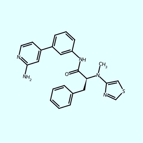 CN(c1cscn1)[C@@H](Cc1ccccc1)C(=O)Nc1cccc(-c2ccnc(N)c2)c1